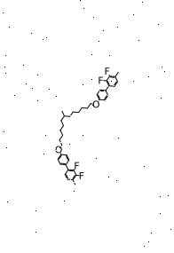 Cc1ccc(-c2ccc(OCCCCCCC(C)CCCCCCOc3ccc(-c4ccc(C)c(F)c4F)cc3)cc2)c(F)c1F